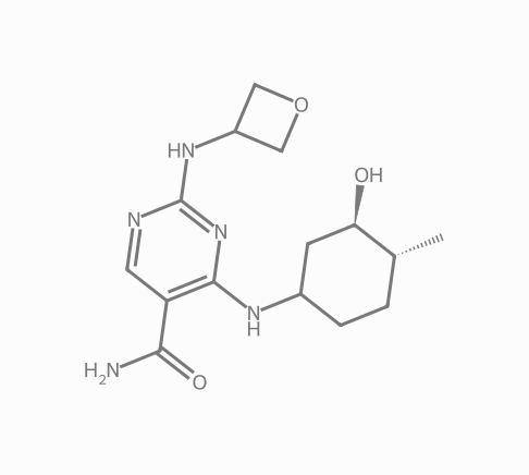 C[C@@H]1CCC(Nc2nc(NC3COC3)ncc2C(N)=O)C[C@H]1O